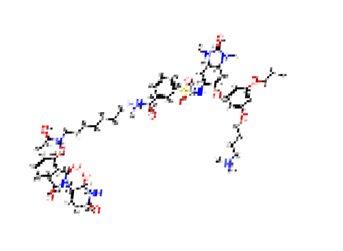 CCCOc1cc(OCCCCN(C)C)cc(Oc2cc3c(cc2NS(=O)(=O)c2cccc(C(=O)NCCCCCCCCN(Oc4cccc5c4C(=O)N(C4CCC(=O)NC4=O)C5=O)C(C)=O)c2)n(C)c(=O)n3C)c1